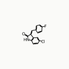 O=C1Nc2ccc(Cl)cc2/C1=C\c1ccc(F)cc1